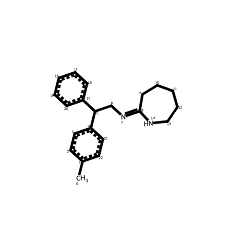 Cc1ccc(C(CN=C2CCCCCN2)c2ccccc2)cc1